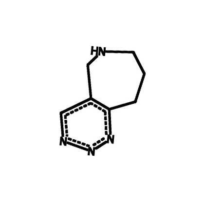 c1nnnc2c1CNCCC2